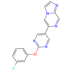 Fc1cccc(Oc2ncc(-c3cn4ccnc4cn3)cn2)c1